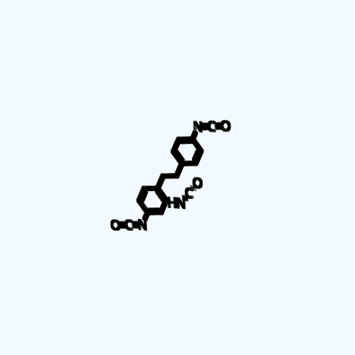 N=C=O.O=C=Nc1ccc(CCc2ccc(N=C=O)cc2)cc1